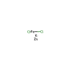 [Cl][Fe][Cl].[K].[Zn]